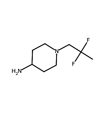 CC(F)(F)CN1CCC(N)CC1